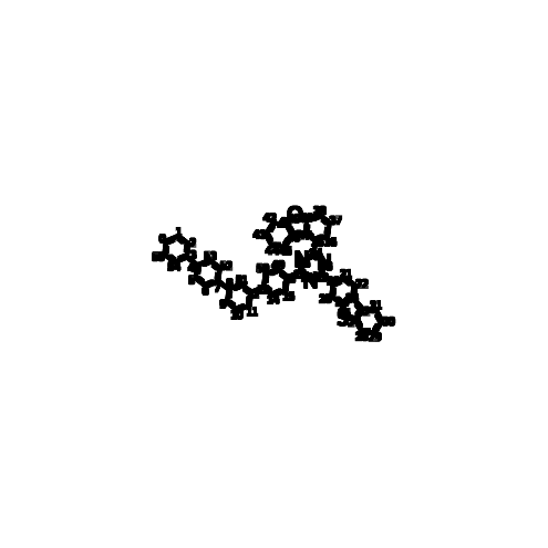 c1ccc(-c2ccc(-c3cccc(-c4ccc(-c5nc(-c6ccc7c(c6)sc6ccccc67)nc(-c6cccc7oc8ccccc8c67)n5)cc4)c3)cc2)cc1